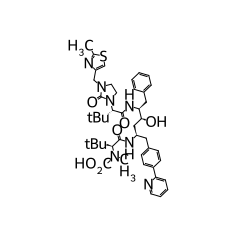 Cc1nc(CN2CCN([C@H](C(=O)N[C@@H](Cc3ccccc3)[C@@H](O)C[C@@H](Cc3ccc(-c4ccccn4)cc3)NC(=O)[C@@H](N(C)C(=O)O)C(C)(C)C)C(C)(C)C)C2=O)cs1